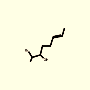 CC=CCCC(O)C(C)Br